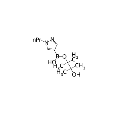 CCCn1cc(B(O)OC(C)(C)C(C)(C)O)cn1